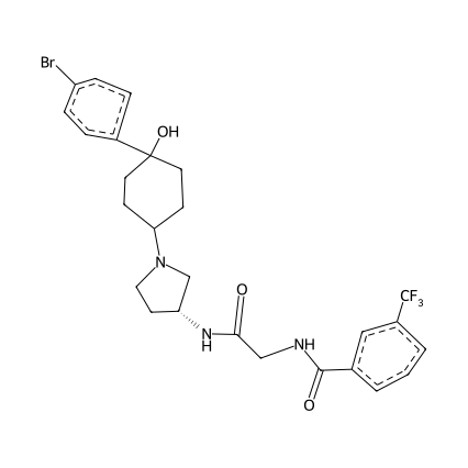 O=C(CNC(=O)c1cccc(C(F)(F)F)c1)N[C@@H]1CCN(C2CCC(O)(c3ccc(Br)cc3)CC2)C1